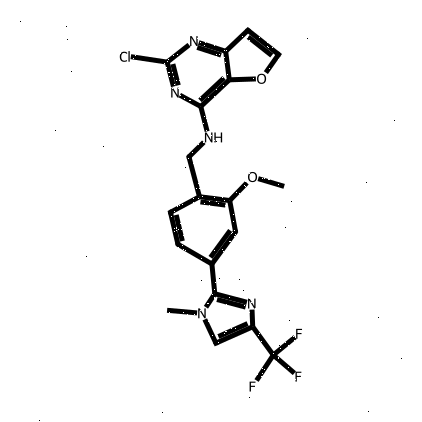 COc1cc(-c2nc(C(F)(F)F)cn2C)ccc1CNc1nc(Cl)nc2ccoc12